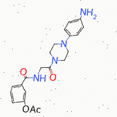 CC(=O)Oc1cccc(C(=O)NCC(=O)N2CCN(c3ccc(N)cc3)CC2)c1